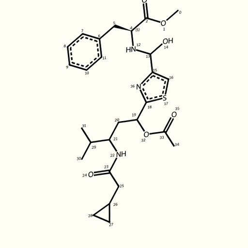 COC(=O)[C@H](Cc1ccccc1)NC(O)c1csc(C(CC(NC(=O)CC2CC2)C(C)C)OC(C)=O)n1